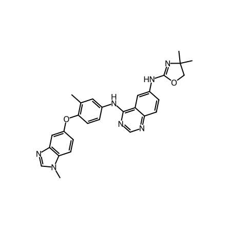 Cc1cc(Nc2ncnc3ccc(NC4=NC(C)(C)CO4)cc23)ccc1Oc1ccc2c(c1)ncn2C